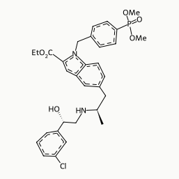 CCOC(=O)c1cc2cc(C[C@@H](C)NC[C@@H](O)c3cccc(Cl)c3)ccc2n1Cc1ccc(P(=O)(OC)OC)cc1